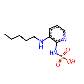 CCCCCNc1cccnc1NS(=O)(=O)O